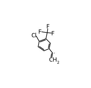 C=[C]c1ccc(Cl)c(C(F)(F)F)c1